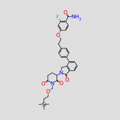 C[Si](C)(C)CCOCN1C(=O)CCC(N2Cc3c(cccc3-c3ccc(CCOc4ccc(C(N)=O)c(F)c4)cc3)C2=O)C1=O